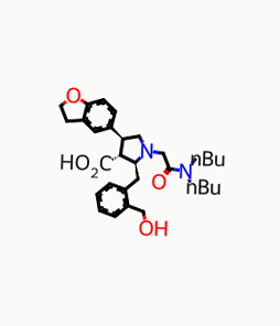 CCCCN(CCCC)C(=O)CN1C[C@H](c2ccc3c(c2)CCO3)[C@@H](C(=O)O)[C@@H]1Cc1ccccc1CO